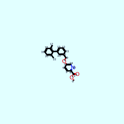 COC(=O)c1ccc(OCc2cccc(-c3c(C)cccc3C)c2)cn1